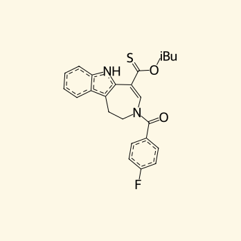 CCC(C)OC(=S)C1=CN(C(=O)c2ccc(F)cc2)CCc2c1[nH]c1ccccc21